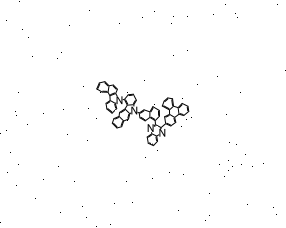 c1ccc2cc3c(cc2c1)c1c(-n2c4ccccc4c4c5ccccc5ccc42)cccc1n3-c1ccc2c(-c3nc4ccccc4nc3-c3ccc4c5ccccc5c5ccccc5c4c3)cccc2c1